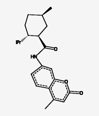 Cc1cc(=O)oc2cc(NC(=O)[C@@H]3C[C@H](C)CC[C@H]3C(C)C)ccc12